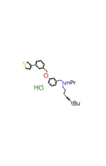 CCCN(CC=CC#CC(C)(C)C)Cc1cccc(OCc2cccc(-c3ccsc3)c2)c1.Cl